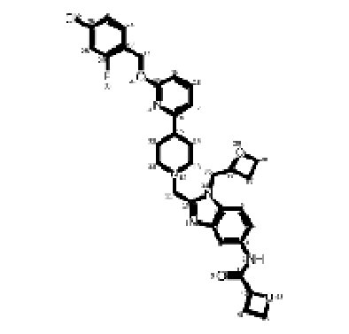 O=C(Nc1ccc2c(c1)nc(CN1CCC(c3cccc(OCc4ccc(Cl)cc4F)n3)CC1)n2CC1CCO1)C1CCO1